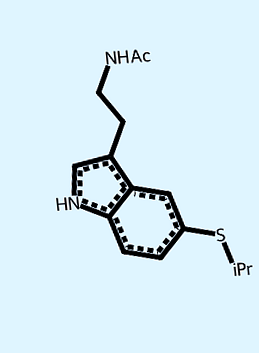 CC(=O)NCCc1c[nH]c2ccc(SC(C)C)cc12